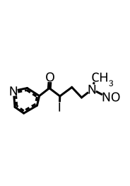 CN(CCC(I)C(=O)c1cccnc1)N=O